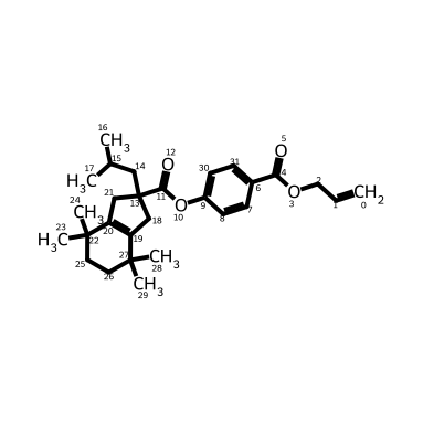 C=CCOC(=O)c1ccc(OC(=O)C2(CC(C)C)CC3=C(C2)C(C)(C)CCC3(C)C)cc1